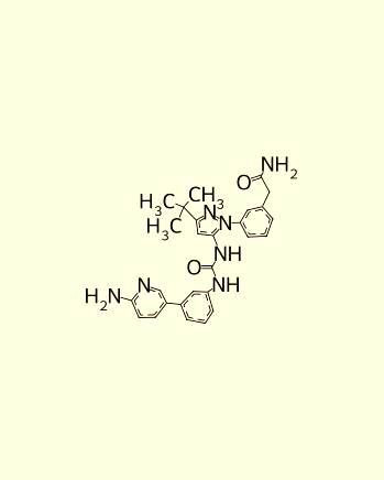 CC(C)(C)c1cc(NC(=O)Nc2cccc(-c3ccc(N)nc3)c2)n(-c2cccc(CC(N)=O)c2)n1